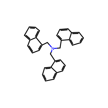 c1ccc2c(CN(Cc3cccc4ccccc34)Cc3cccc4ccccc34)cccc2c1